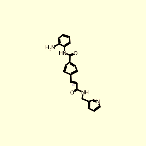 Nc1ccccc1NC(=O)c1ccc(/C=C/C(=O)NCc2cccnc2)cc1